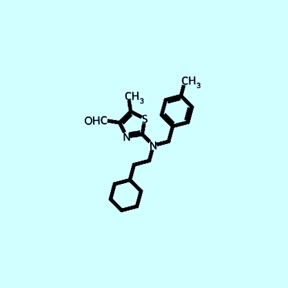 Cc1ccc(CN(CCC2CCCCC2)c2nc(C=O)c(C)s2)cc1